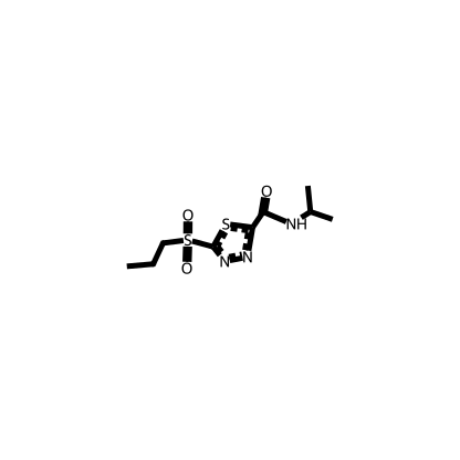 CCCS(=O)(=O)c1nnc(C(=O)NC(C)C)s1